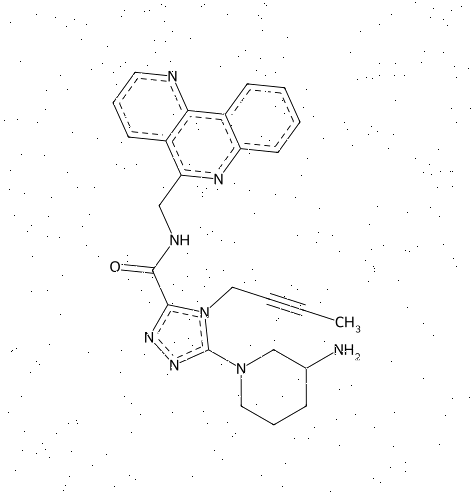 CC#CCn1c(C(=O)NCc2nc3ccccc3c3ncccc23)nnc1N1CCCC(N)C1